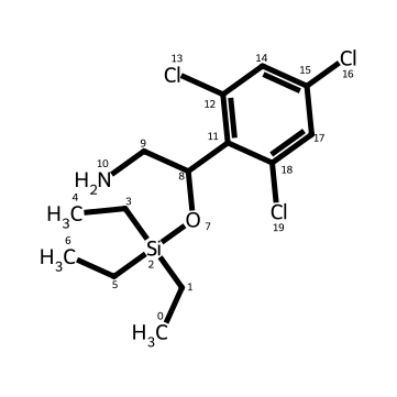 CC[Si](CC)(CC)OC(CN)c1c(Cl)cc(Cl)cc1Cl